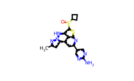 Cc1cc2c3cc(-c4cnc(N)nc4)nc4sc([S+]([O-])C5CCC5)c([nH]n2n1)c43